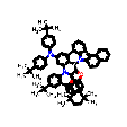 CC(C)(C)c1ccc(N(c2ccc(C(C)(C)C)cc2)c2cc3c4c(c2)N(c2ccc(C(C)(C)C)cc2-c2ccccc2)c2c(oc5cc6c(cc25)C(C)(C)CCC6(C)C)B4n2c4ccc5ccccc5c4c4cccc-3c42)cc1